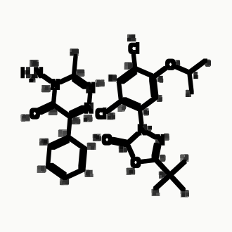 CC(C)Oc1cc(-n2nc(C(C)(C)C)oc2=O)c(Cl)cc1Cl.Cc1nnc(-c2ccccc2)c(=O)n1N